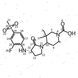 CC1(C)CN(C(=O)O)CCC1N1CC[C@H](Nc2ccc(S(C)(=O)=O)cc2F)C1=O